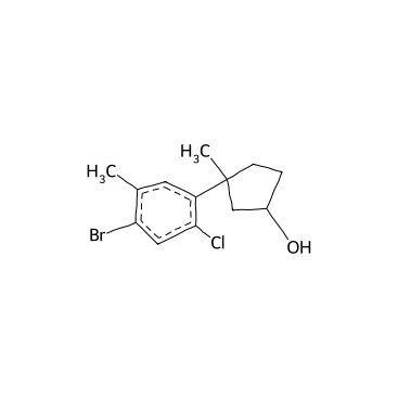 Cc1cc(C2(C)CCC(O)C2)c(Cl)cc1Br